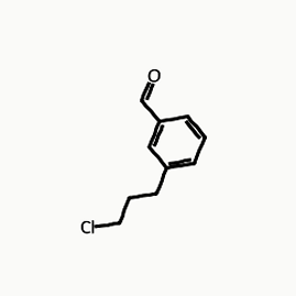 O=Cc1cccc(CCCCl)c1